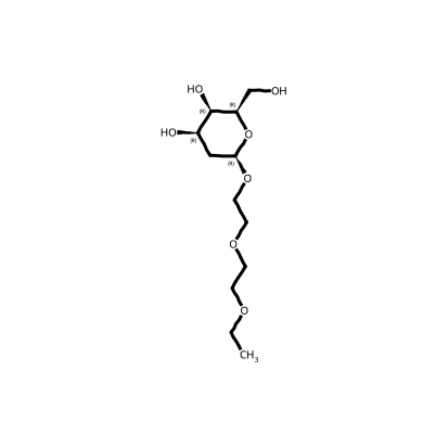 CCOCCOCCO[C@H]1C[C@@H](O)[C@@H](O)[C@@H](CO)O1